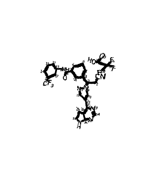 N#CCC(c1cccc(C(=O)Nc2cccc(C(F)(F)F)c2)c1)n1cc(-c2ncnc3[nH]ccc23)cn1.O=C(O)C(F)(F)F